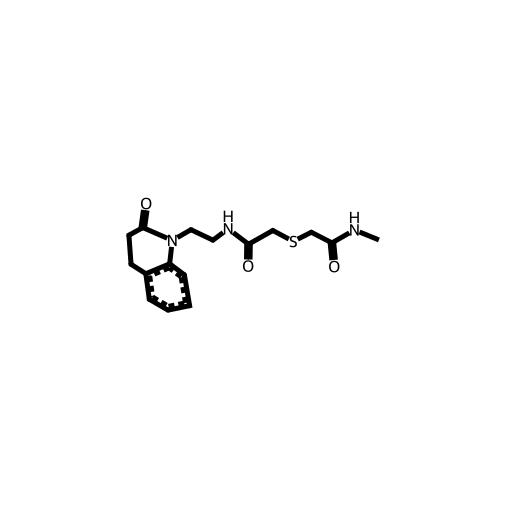 CNC(=O)CSCC(=O)NCCN1C(=O)CCc2ccccc21